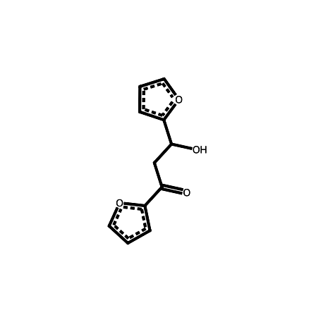 O=C(CC(O)c1ccco1)c1ccco1